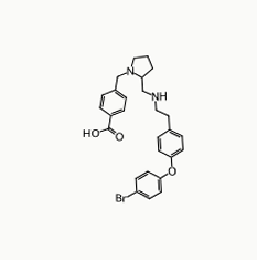 O=C(O)c1ccc(CN2CCCC2CNCCc2ccc(Oc3ccc(Br)cc3)cc2)cc1